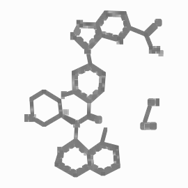 Cc1cccc2ccnc(N(C(=O)c3ccc(-n4nnc5ccc(C(N)=O)nc54)cc3F)[C@@H]3CCCNC3)c12.O=CO